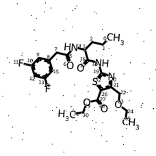 CCCC(NC(=O)Cc1cc(F)cc(F)c1)C(=O)Nc1nc(COCC)c(C(=O)OCC)s1